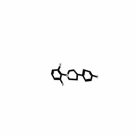 Fc1ccc(C2CCN(c3c(F)cccc3F)CC2)cc1